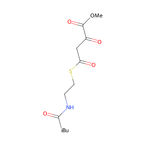 CCC(C)C(=O)NCCSC(=O)CC(=O)C(=O)OC